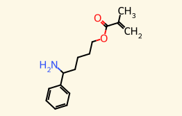 C=C(C)C(=O)OCCCCC(N)c1ccccc1